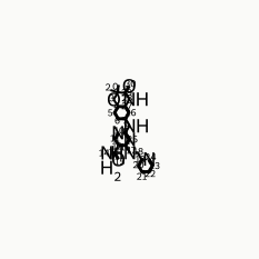 CC1(C)Oc2ccc(Nc3ncc(C(N)=O)c(NCc4ccccn4)n3)cc2NC1=O